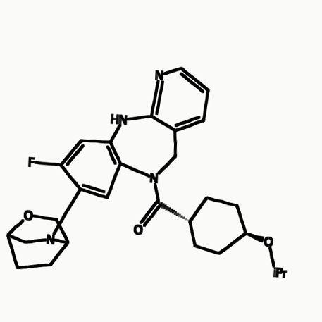 CC(C)O[C@H]1CC[C@H](C(=O)N2Cc3cccnc3Nc3cc(F)c(N4CC5CCC4CO5)cc32)CC1